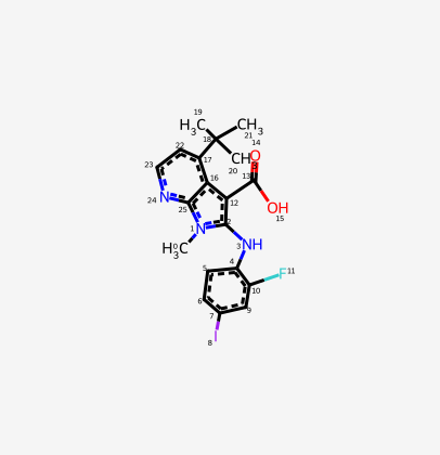 Cn1c(Nc2ccc(I)cc2F)c(C(=O)O)c2c(C(C)(C)C)ccnc21